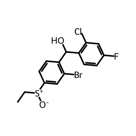 CC[S+]([O-])c1ccc(C(O)c2ccc(F)cc2Cl)c(Br)c1